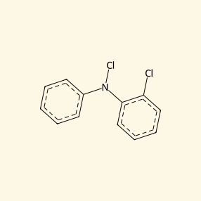 Clc1ccccc1N(Cl)c1ccccc1